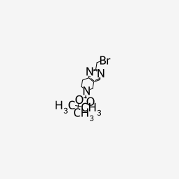 CC(C)(C)OC(=O)N1CCc2nc(CBr)ncc2C1